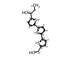 CCC(O)c1ccc(-c2ccc(-c3ccc(CO)s3)s2)s1